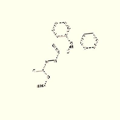 CCCCCCOC(=O)N=NC(=O)O[SiH](c1ccccc1)c1ccccc1